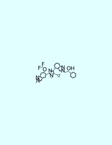 Cn1cc2cc(-c3nc(-c4cccc5nn(C[C@H](O)c6ccccc6)cc45)c(C4CC4)n3C)c(OC(F)F)cc2n1